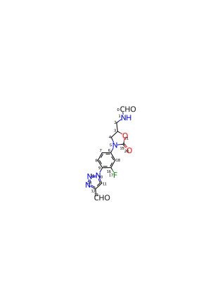 O=CNCC1CN(c2ccc(-n3cc(C=O)nn3)c(F)c2)C(=O)O1